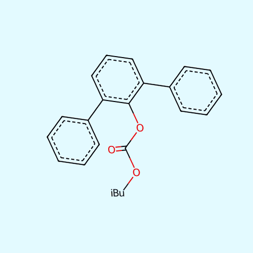 CCC(C)OC(=O)Oc1c(-c2ccccc2)cccc1-c1ccccc1